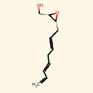 C=CC=CCC=CC[C@H]1O[C@H]1CO